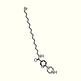 O=C(NCCCCCCCCCCCCCCCCCBr)c1ccc(N2CCNCC2)nc1